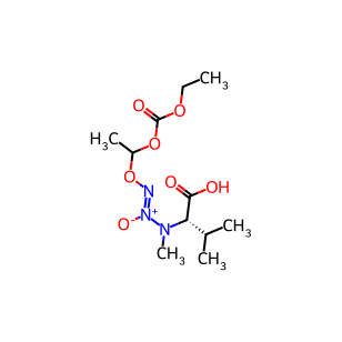 CCOC(=O)OC(C)O/N=[N+](\[O-])N(C)[C@H](C(=O)O)C(C)C